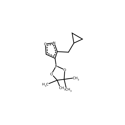 CC1(C)OB(c2conc2CC2CC2)OC1(C)C